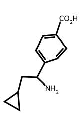 NC(CC1CC1)c1ccc(C(=O)O)cc1